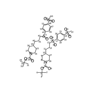 CC(C)(C)OC(=O)N1CCC(CCCS(=O)(=O)c2ccc(S(C)(=O)=O)cc2)CC1.CC(C)(C)OC(=O)N1CCC(CCC[S+]([O-])c2ccc(S(C)(=O)=O)cc2)CC1